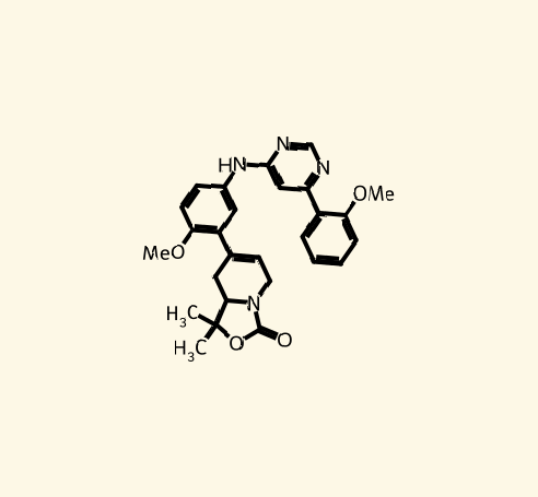 COc1ccc(Nc2cc(-c3ccccc3OC)ncn2)cc1C1=CCN2C(=O)OC(C)(C)C2C1